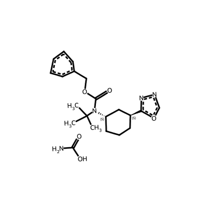 CC(C)(C)N(C(=O)OCc1ccccc1)[C@H]1CCC[C@H](c2nnco2)C1.NC(=O)O